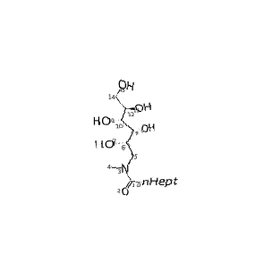 CCCCCCCC(=O)N(C)C[C@H](O)[C@@H](O)[C@H](O)[C@H](O)CO